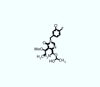 C=C/C(OC)=c1/c(=O)n(Cc2ccc(F)c(Cl)c2)cn/c1=C(/N)OC(C)O